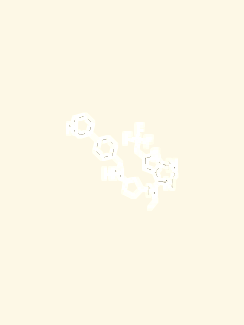 CCN(c1ncnc2sc(CC(F)(F)F)cc12)C1CCC(NCc2ccc(-c3cccnc3)cc2)C1